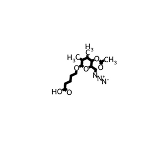 CC(=O)OC1C(CN=[N+]=[N-])OC(OCCCCC(=O)O)C(C)C1C